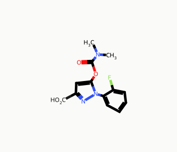 CN(C)C(=O)Oc1cc(C(=O)O)nn1-c1ccccc1F